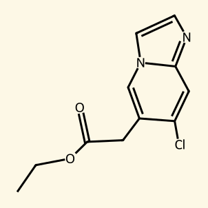 CCOC(=O)Cc1cn2ccnc2cc1Cl